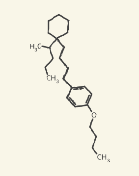 CCCCOc1ccc(CCCCC2(C(C)CCC)CCCCC2)cc1